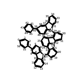 c1ccc(-c2ccc3c(c2)c2ccccc2n3-c2cccc3c2c2cccc4c5c(-n6c7ccccc7c7cc(-c8ccccc8)ccc76)cccc5n3c24)cc1